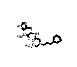 CC(C)(C)OC(=O)[C@H](Cc1c[nH]cn1)NC(=O)CN(CCCc1ccccc1)CC(=O)O